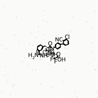 CN([C@@H](Cc1cccc(C(=N)N)c1)C(=O)Nc1ccc(-c2cccc(Cl)c2C#N)cc1)S(C)(=O)=O.O=C(O)C(F)(F)F